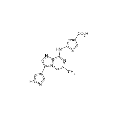 Cc1cn2c(-c3cn[nH]c3)cnc2c(Nc2cc(C(=O)O)cs2)n1